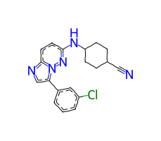 N#CC1CCC(Nc2ccc3ncc(-c4cccc(Cl)c4)n3n2)CC1